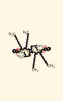 CCCCCCCCCCCCc1cc(C=C2C(=O)c3ccccc3C2=O)sc1-c1cc(CCCCCCCCCCCC)c(-c2cc3c(-c4ccc(CC(CC)CCCC)s4)c4sc(-c5sc(-c6sc(C=C7C(=O)c8ccccc8C7=O)cc6CCCCCCCCCCCC)cc5CCCCCCCCCCCC)cc4c(-c4ccc(CC(CC)CCCC)s4)c3s2)s1